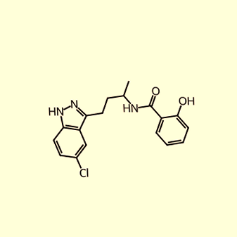 CC(CCc1n[nH]c2ccc(Cl)cc12)NC(=O)c1ccccc1O